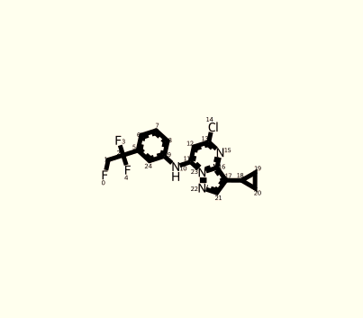 FCC(F)(F)c1cccc(Nc2cc(Cl)nc3c(C4CC4)cnn23)c1